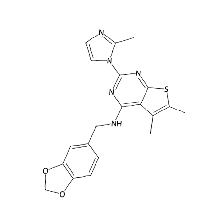 Cc1sc2nc(-n3ccnc3C)nc(NCc3ccc4c(c3)OCO4)c2c1C